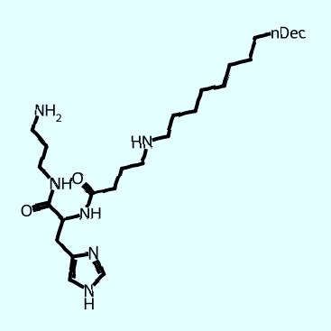 CCCCCCCCCCCCCCCCCCNCCCC(=O)NC(Cc1c[nH]cn1)C(=O)NCCCN